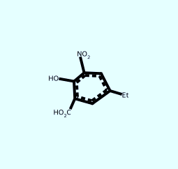 CCc1cc(C(=O)O)c(O)c([N+](=O)[O-])c1